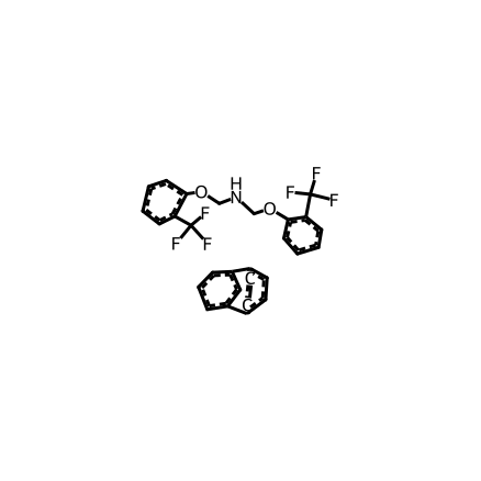 FC(F)(F)c1ccccc1OCNCOc1ccccc1C(F)(F)F.c1cc2cc(c1)-c1ccc-2cc1